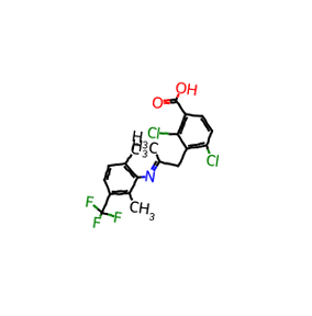 C/C(Cc1c(Cl)ccc(C(=O)O)c1Cl)=N\c1c(C)ccc(C(F)(F)F)c1C